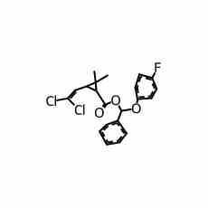 CC1(C)C(C=C(Cl)Cl)C1C(=O)OC(Oc1ccc(F)cc1)c1ccccc1